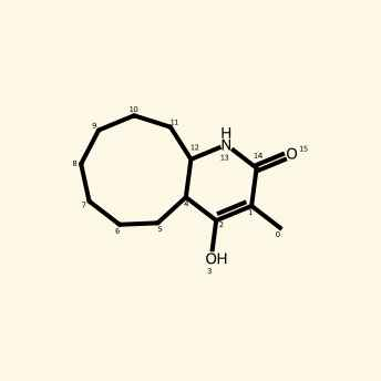 CC1=C(O)C2CCCCCCCC2NC1=O